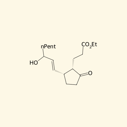 CCCCCC(O)/C=C/[C@H]1CCC(=O)[C@H]1CCC(=O)OCC